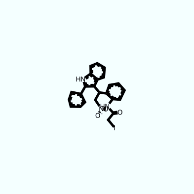 O=C(CI)Nc1ccccc1C(C[N+](=O)[O-])c1c(-c2ccccc2)[nH]c2ccccc12